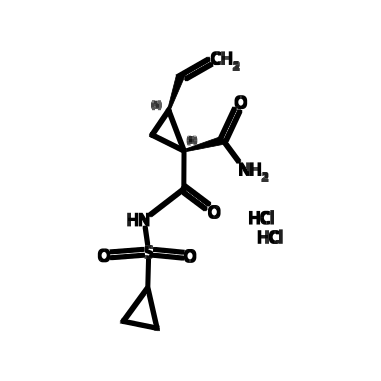 C=C[C@@H]1C[C@@]1(C(N)=O)C(=O)NS(=O)(=O)C1CC1.Cl.Cl